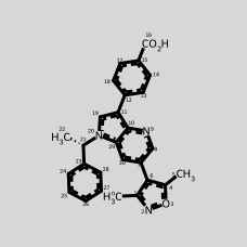 Cc1noc(C)c1-c1cnc2c(-c3ccc(C(=O)O)cc3)cn([C@@H](C)c3ccccc3)c2c1